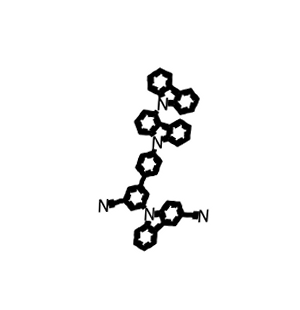 N#Cc1cc(-c2ccc(-n3c4ccccc4c4c(-n5c6ccccc6c6ccccc65)cccc43)cc2)cc(-n2c3ccccc3c3cc(C#N)ccc32)c1